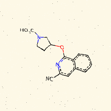 N#Cc1cc2ccccc2c(OC2CCN(C(=O)O)C2)n1